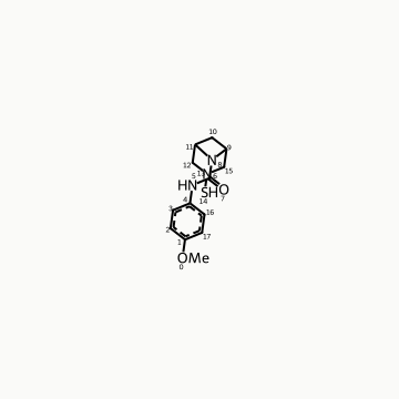 COc1ccc(NC(=O)N2C3CC2CN(S)C3)cc1